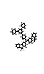 CC1(C)c2ccccc2-c2cc(N(c3ccc(-c4cc(-c5cccnc5)cc(-c5cccnc5)c4)cc3)c3ccc4c(c3)-c3ccccc3C4(C)C)ccc21